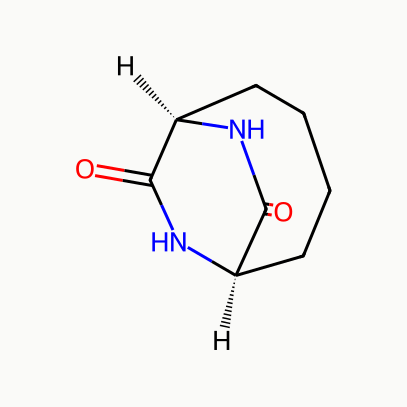 O=C1N[C@@H]2CCCC[C@H]1NC2=O